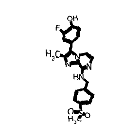 Cc1nc2c(NCc3ccc(S(C)(=O)=O)cc3)nccn2c1-c1ccc(O)c(F)c1